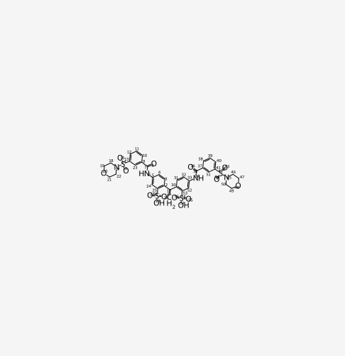 C=C(c1ccc(NC(=O)c2cccc(S(=O)(=O)N3CCOCC3)c2)cc1S(=O)(=O)O)c1ccc(NC(=O)c2cccc(S(=O)(=O)N3CCOCC3)c2)cc1S(=O)(=O)O